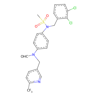 CS(=O)(=O)N(Cc1cccc(Cl)c1Cl)c1ccc(N(C=O)Cc2ccc(C(F)(F)F)nc2)cc1